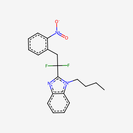 CCCCn1c(C(F)(F)Cc2ccccc2[N+](=O)[O-])nc2ccccc21